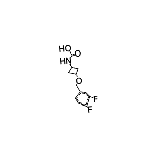 O=C(O)N[C@H]1C[C@H](OCc2ccc(F)c(F)c2)C1